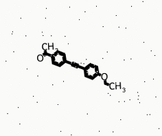 CCOc1ccc(C#Cc2ccc(C(C)=O)cc2)cc1